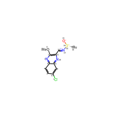 COc1nc2ccc(Cl)cc2nc1/C=N/[S@+]([O-])C(C)(C)C